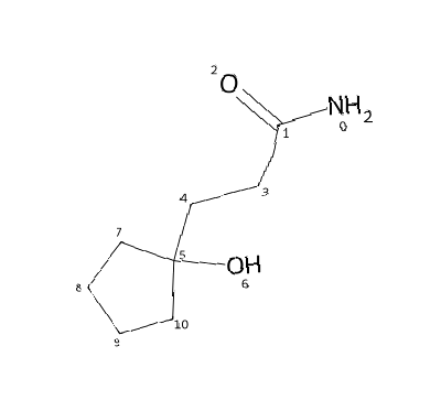 NC(=O)CCC1(O)CCCC1